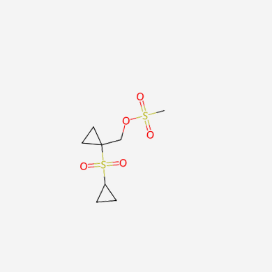 CS(=O)(=O)OCC1(S(=O)(=O)C2CC2)CC1